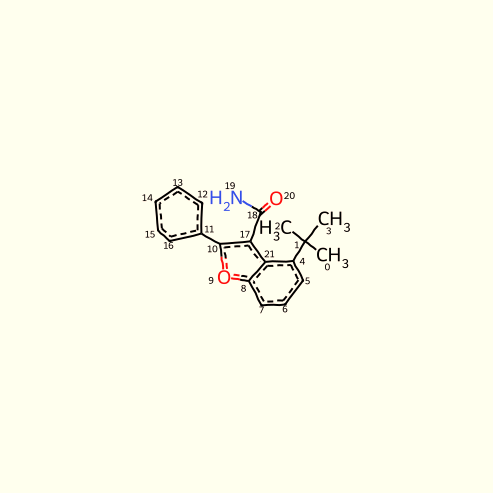 CC(C)(C)c1cccc2oc(-c3ccccc3)c(C(N)=O)c12